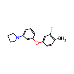 Bc1ccc(Oc2cccc(N3CCCC3)c2)cc1F